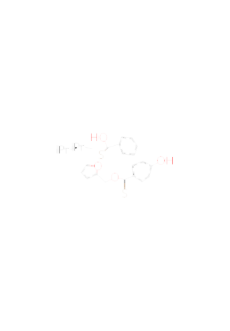 CC(C)C.CC(C)C.OC(=S)c1ccccc1.Oc1ccc(C(=S)OCc2ccco2)cc1